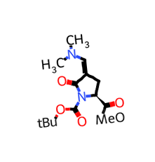 COC(=O)[C@@H]1C/C(=C/N(C)C)C(=O)N1C(=O)OC(C)(C)C